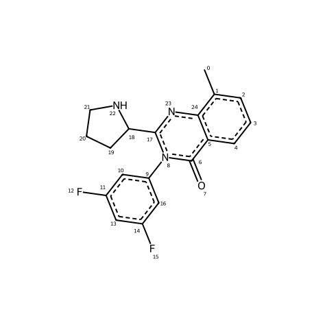 Cc1cccc2c(=O)n(-c3cc(F)cc(F)c3)c(C3CCCN3)nc12